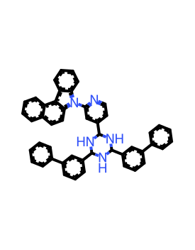 c1ccc(-c2cccc(C3NC(c4cccc(-c5ccccc5)c4)NC(c4ccnc(-n5c6ccccc6c6c7ccccc7ccc65)c4)N3)c2)cc1